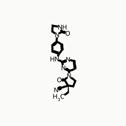 CC[C@]1(C#N)CCN(c2ccnc(Nc3ccc(N4CCNC4=O)cc3)n2)C1=O